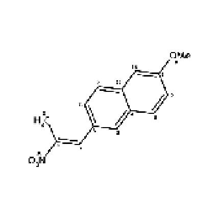 COc1ccc2cc(C=C(C)[N+](=O)[O-])ccc2c1